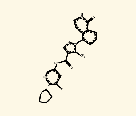 O=C(Nc1cnc([C@@H]2CCCO2)c(Cl)c1)c1cnn(-c2cccc3c(=O)[nH]ccc23)c1C(F)(F)F